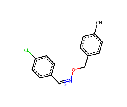 N#Cc1ccc(CO/N=[C]\c2ccc(Cl)cc2)cc1